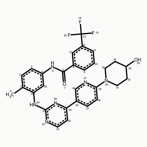 Cc1ccc(NC(=O)c2cccc(C(F)(F)F)c2)cc1Nc1nccc(-c2ccc(N3CCC(O)CC3)nc2)n1